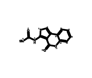 CC(C)(C)C(=O)Nc1scc2c1c(=O)oc1ccccc12